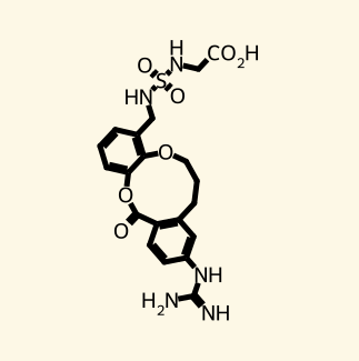 N=C(N)Nc1ccc2c(c1)CCCOc1c(CNS(=O)(=O)NCC(=O)O)cccc1OC2=O